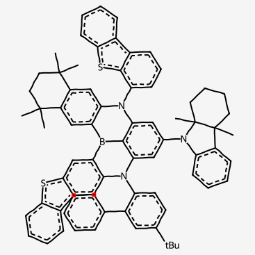 CC(C)(C)c1ccc(N2c3cc4c(cc3B3c5cc6c(cc5N(c5cccc7c5sc5ccccc57)c5cc(N7c8ccccc8C8(C)CCCCC78C)cc2c53)C(C)(C)CCC6(C)C)sc2ccccc24)c(-c2ccccc2)c1